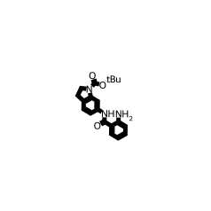 CC(C)(C)OC(=O)N1CCc2ccc(NC(=O)c3ccccc3N)cc21